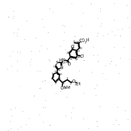 CCOCCC(OC)c1cccc(-c2csc(NC(=O)c3cc(Cl)c(C=C(C)C(=O)O)c(Cl)c3)n2)c1